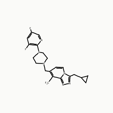 Fc1cnc(N2CCN(Cc3ccn4c(CC5CC5)nnc4c3C(F)(F)F)CC2)c(F)c1